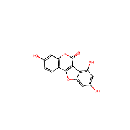 O=c1oc2cc(O)ccc2c2oc3cc(O)cc(O)c3c12